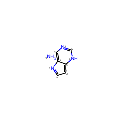 N.c1cc2[nH]cncc-2n1